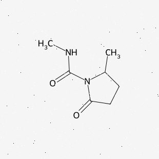 CNC(=O)N1C(=O)CCC1C